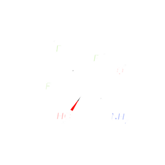 NC(=O)[C@@H](O)C(F)(F)F